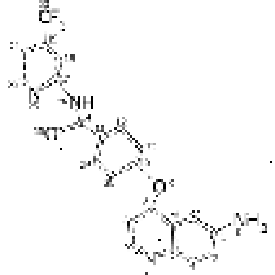 Nc1ccc2nccc(Oc3ccc(C(=O)Nc4cc(C(F)(F)F)ccn4)cc3)c2c1